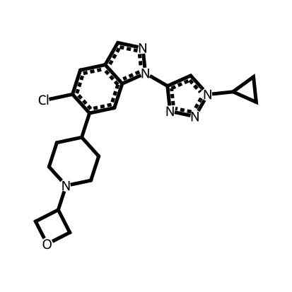 Clc1cc2cnn(-c3cn(C4CC4)nn3)c2cc1C1CCN(C2COC2)CC1